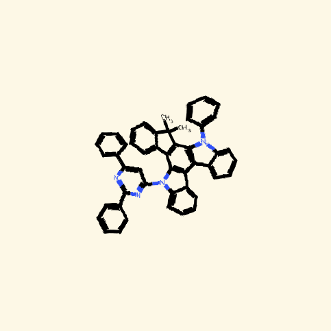 CC1(C)c2ccccc2-c2c1c1c(c3ccccc3n1-c1ccccc1)c1c3ccccc3n(-c3cc(-c4ccccc4)nc(-c4ccccc4)n3)c21